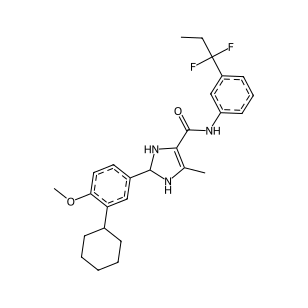 CCC(F)(F)c1cccc(NC(=O)C2=C(C)NC(c3ccc(OC)c(C4CCCCC4)c3)N2)c1